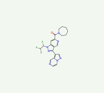 O=C(c1cc2c(cn1)c(-c1cnn3ccncc13)nn2C(F)C(F)F)N1CCCCCC1